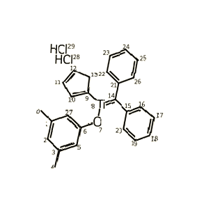 Cc1cc(C)cc([O][Ti]([C]2=CC=CC2)=[C](c2ccccc2)c2ccccc2)c1.Cl.Cl